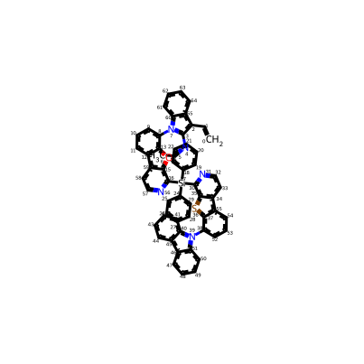 C=Cc1c(/N=C\C)n(-c2cccc3c2oc2c([Si](c4ccccc4)(c4ccccc4)c4nccc5c4sc4c(-n6c7ccccc7c7ccccc76)cccc45)nccc23)c2ccccc12